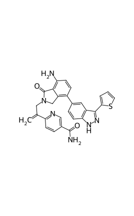 C=C(CN1Cc2c(-c3ccc4[nH]nc(-c5cccs5)c4c3)ccc(N)c2C1=O)c1ccc(C(N)=O)cn1